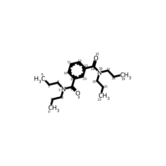 CCCN(CCC)C(=O)c1cccc(C(=O)N(CCC)CCC)c1